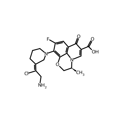 C[C@H]1COc2c(N3CCC/C(=C(\Cl)CN)C3)c(F)cc3c(=O)c(C(=O)O)cn1c23